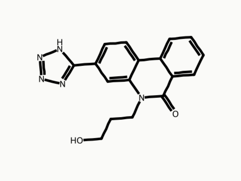 O=c1c2ccccc2c2ccc(-c3nnn[nH]3)cc2n1CCCO